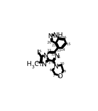 Cc1nc2c(N3CCOCC3)nc(-c3cccc4[nH]ncc34)cn2c1I